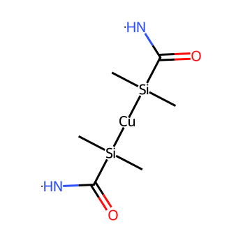 C[Si](C)([Cu][Si](C)(C)C([NH])=O)C([NH])=O